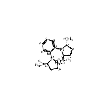 CC1CC[C@@H](C)P1c1ccccc1P1[C@H](C)CC[C@H]1C